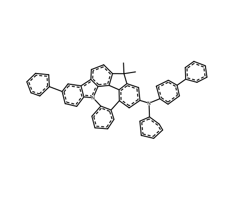 CC1(C)c2cc(N(c3ccccc3)c3ccc(-c4ccccc4)cc3)cc3c2-c2c1ccc1c4cc(-c5ccccc5)ccc4n(c21)-c1ccccc1-3